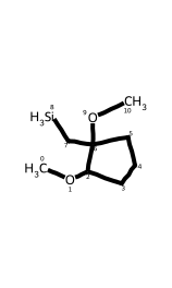 COC1CCCC1(C[SiH3])OC